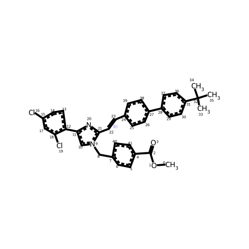 COC(=O)c1ccc(Cn2cc(-c3ccc(Cl)cc3Cl)nc2/C=C/c2ccc(-c3ccc(C(C)(C)C)cc3)cc2)cc1